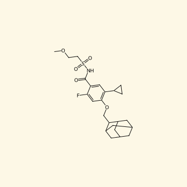 COCCS(=O)(=O)NC(=O)c1cc(C2CC2)c(OCC2C3CC4CC(C3)CC2C4)cc1F